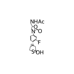 CC(=O)NCC1CN(c2ccc([C@H]3CCS[C@H](O)C3)c(F)c2)C(=O)O1